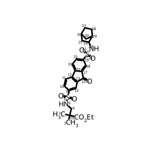 CCOC(=O)C(C)(C)CNS(=O)(=O)c1ccc2c(c1)C(=O)c1cc(S(=O)(=O)NC3CC4CCC3C4)ccc1-2